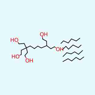 CCCCCC.CCCCCC.CCCCCC.CCCCCC.OCCC(CCO)CCCCC(CCO)(CCO)CCO